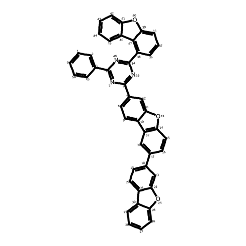 c1ccc(-c2nc(-c3ccc4c(c3)oc3ccc(-c5ccc6c(c5)oc5ccccc56)cc34)nc(-c3cccc4oc5ccccc5c34)n2)cc1